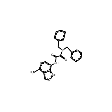 Nc1ncc(NC(=O)C(=O)N(Cc2ccccc2)Cc2ccccn2)c2[nH]ncc12